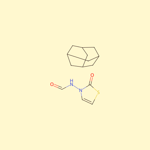 C1C2CC3CC1CC(C2)C3.O=CNn1ccsc1=O